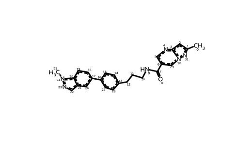 Cc1cc2ncc(C(=O)NCCCc3ccc(-c4ccc5c(cnn5C)c4)cc3)cn2n1